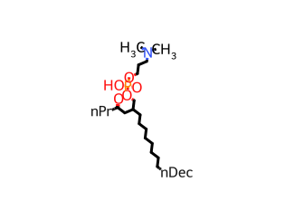 CCCCCCCCCCCCCCCCCCC(COP(=O)(O)OCCCN(C)C)CC(=O)CCC